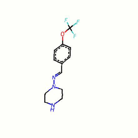 FC(F)(F)Oc1ccc(C=NN2CCNCC2)cc1